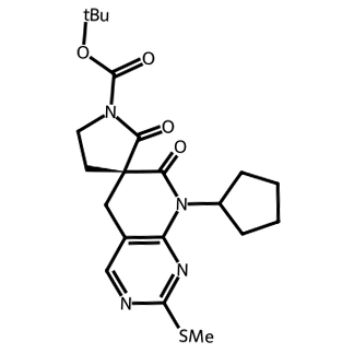 CSc1ncc2c(n1)N(C1CCCC1)C(=O)[C@]1(CCN(C(=O)OC(C)(C)C)C1=O)C2